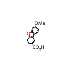 COc1ccc2c3c(oc2c1)CCC(C(=O)O)=C3